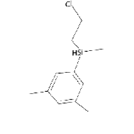 Cc1cc(C)cc([SiH](C)CCCl)c1